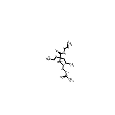 C=CCOC(=O)C(CCC)(CCC)NCCOC(C)=O